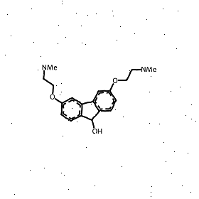 CNCCOc1ccc2c(c1)-c1cc(OCCNC)ccc1C2O